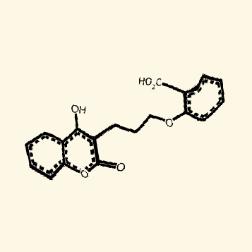 O=C(O)c1ccccc1OCCCc1c(O)c2ccccc2oc1=O